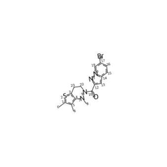 Cc1sc2c(c1C)N(C)N(C(=O)c1cc3ccc(Br)cn3n1)CC2